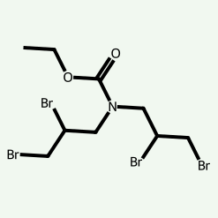 CCOC(=O)N(CC(Br)CBr)CC(Br)CBr